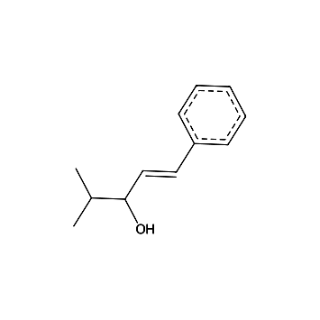 CC(C)C(O)C=Cc1ccccc1